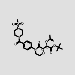 CC(=O)O[C@@H](C(=O)OC(C)(C)C)[C@H]1OCCN(c2ccc(C(=O)N3CCN(S(C)(=O)=O)CC3)cc2)C1=O